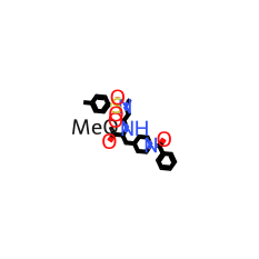 COC(=O)C(CC1CCN(C(=O)c2ccccc2)CC1)NC(=O)CN(C)S(=O)(=O)c1ccc(C)cc1